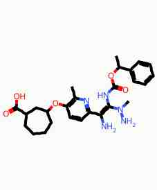 Cc1nc(/C(N)=C(\NC(=O)OC(C)c2ccccc2)N(C)N)ccc1OC1CCCCC(C(=O)O)C1